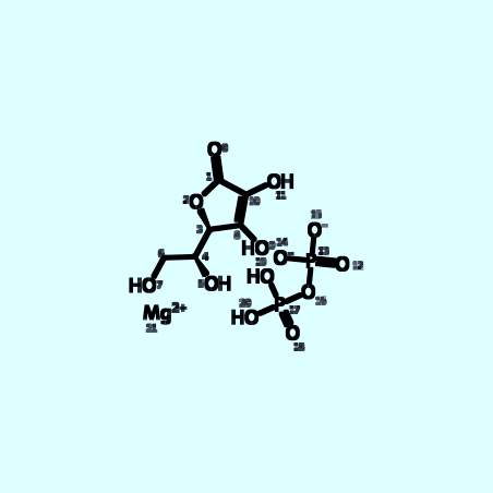 O=C1O[C@H]([C@@H](O)CO)C(O)=C1O.O=P([O-])([O-])OP(=O)(O)O.[Mg+2]